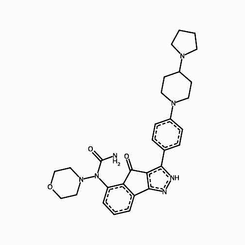 NC(=O)N(c1cccc2c1C(=O)c1c-2n[nH]c1-c1ccc(N2CCC(N3CCCC3)CC2)cc1)N1CCOCC1